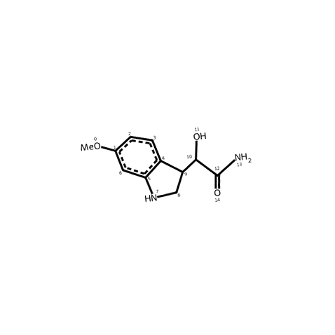 COc1ccc2c(c1)NCC2C(O)C(N)=O